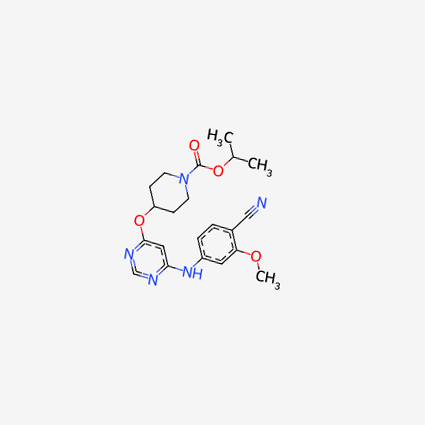 COc1cc(Nc2cc(OC3CCN(C(=O)OC(C)C)CC3)ncn2)ccc1C#N